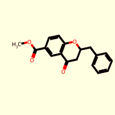 COC(=O)c1ccc2c(c1)C(=O)CC(Cc1ccccc1)O2